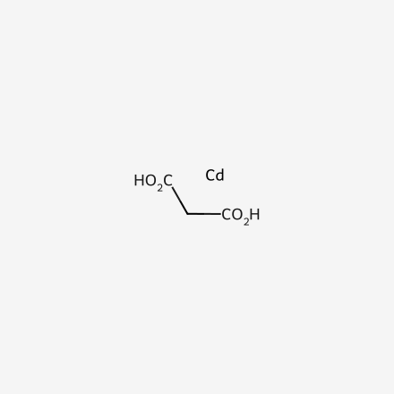 O=C(O)CC(=O)O.[Cd]